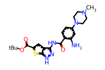 CN1CCN(c2ccc(C(=O)Nc3n[nH]c4sc(C(=O)OC(C)(C)C)cc34)c(N)c2)CC1